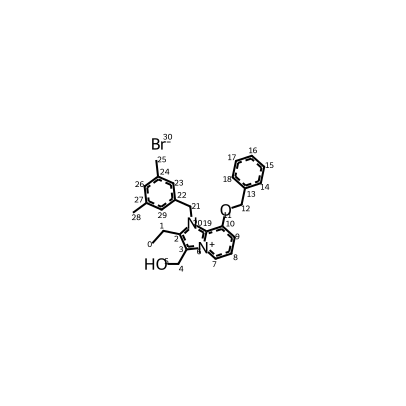 CCc1c(CO)[n+]2cccc(OCc3ccccc3)c2n1Cc1cc(C)cc(C)c1.[Br-]